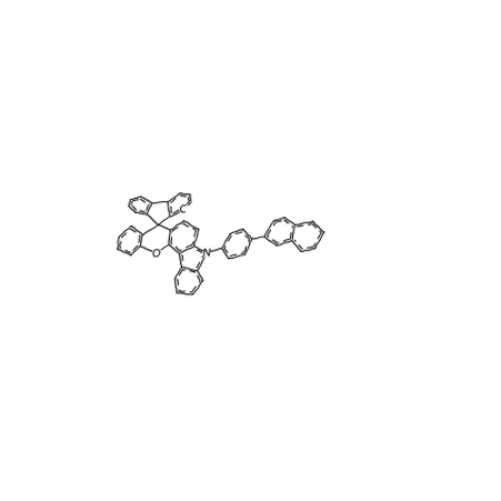 c1ccc2c(c1)Oc1c(ccc3c1c1ccccc1n3-c1ccc(-c3ccc4ccccc4c3)cc1)C21c2ccccc2-c2ccccc21